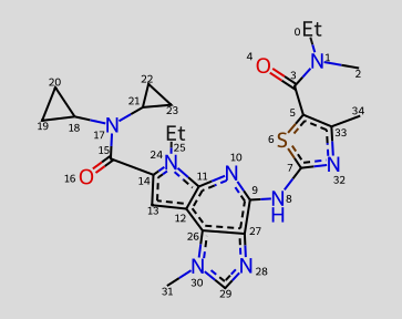 CCN(C)C(=O)c1sc(Nc2nc3c(cc(C(=O)N(C4CC4)C4CC4)n3CC)c3c2ncn3C)nc1C